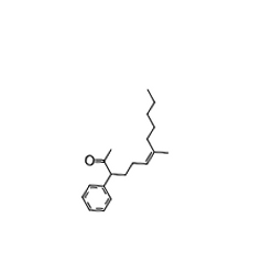 CCCCCC(C)=CCCC(C(C)=O)c1ccccc1